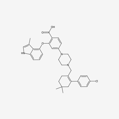 Cc1c[nH]c2cccc(Oc3cc(N4CCN(CC5=C(c6ccc(Cl)cc6)CC(C)(C)CC5)CC4)ccc3C(=O)O)c12